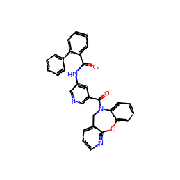 O=C(Nc1cncc(C(=O)N2Cc3cccnc3Oc3ccccc32)c1)c1ccccc1-c1ccccc1